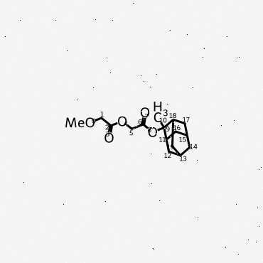 COCC(=O)OCC(=O)OC1(C)C2CC3CC(C2)CC1C3